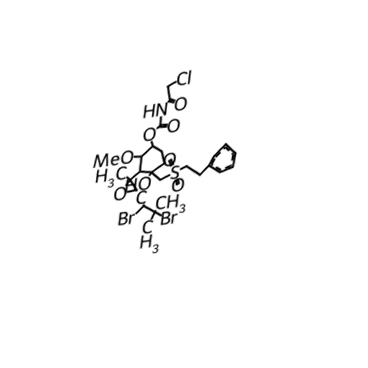 COC1C(OC(=O)NC(=O)CCl)CCC(O)(CS(=O)(=O)CCc2ccccc2)C1C1(C)OC1CC(Br)C(C)(C)Br